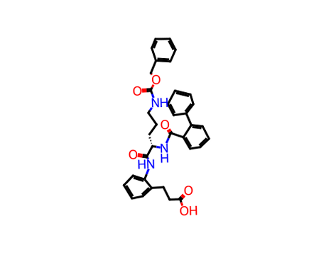 O=C(O)CCc1ccccc1NC(=O)[C@H](CCCNC(=O)OCc1ccccc1)NC(=O)c1ccccc1-c1ccccc1